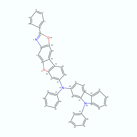 c1ccc(-c2nc3cc4oc5cc(N(c6ccccc6)c6ccc7c8ccccc8n(-c8ccccc8)c7c6)ccc5c4cc3o2)cc1